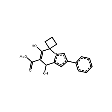 COC(=O)C1=C(O)C2(CCC2)n2cc(-c3ccccc3)cc2C1O